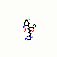 O=C(C=Cc1cnccn1)c1c(-c2ccccc2)c2cc(Cl)ccc2[nH]c1=O